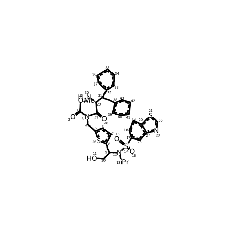 COC(=O)N(Cc1ccc(C(CO)N(C(C)C)S(=O)(=O)c2ccc3scnc3c2)s1)C(=O)[C@@H](N)C(c1ccccc1)c1ccccc1